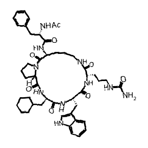 CC(=O)N[C@@H](Cc1ccccc1)C(=O)N[C@H]1CCCNC(=O)[C@H](CCCNC(N)=O)NC(=O)[C@H](Cc2c[nH]c3ccccc23)NC(=O)[C@@H](CC2CCCCC2)NC(=O)[C@@H]2CCCN2C1=O